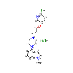 CC(=O)n1ccc2c(N3CCN(CCCOc4ccc(F)nc4)CC3)cccc21.Cl